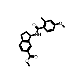 COC(=O)c1ccc2c(c1)C(NC(=O)c1ccc(OC)cc1C)CC2